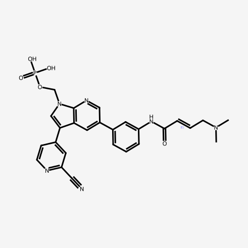 CN(C)C/C=C/C(=O)Nc1cccc(-c2cnc3c(c2)c(-c2ccnc(C#N)c2)cn3COP(=O)(O)O)c1